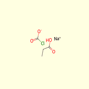 CCC(=O)O.O=C([O-])Cl.[Na+]